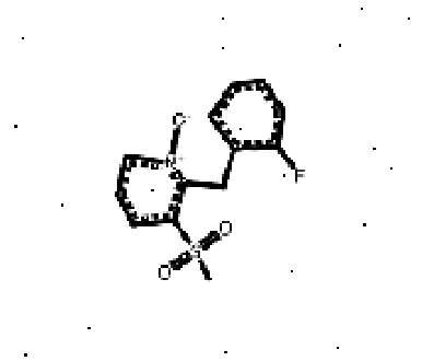 CS(=O)(=O)c1ccc[n+]([O-])c1Cc1ccccc1F